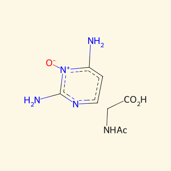 CC(=O)NCC(=O)O.Nc1ccnc(N)[n+]1[O-]